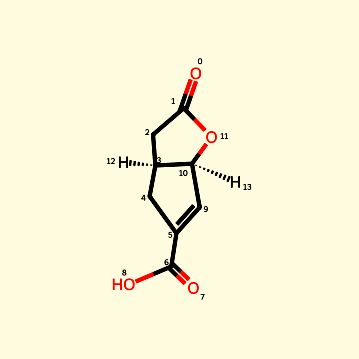 O=C1C[C@@H]2CC(C(=O)O)=C[C@@H]2O1